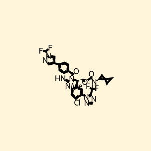 CNC(=N)N(C(=O)c1ccc(-c2cnn(C(F)F)c2)cc1)[C@H](COC(=O)N[C@H]1CC12CC2)c1ccc(Cl)c(-n2ncnc2C(F)F)c1